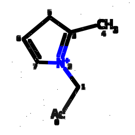 CC(=O)C[N+]1=C(C)CC=C1